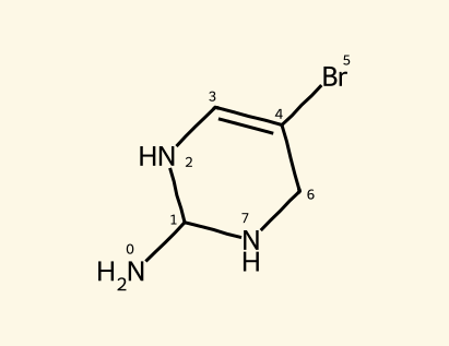 NC1NC=C(Br)CN1